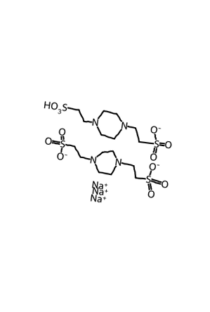 O=S(=O)([O-])CCN1CCN(CCS(=O)(=O)O)CC1.O=S(=O)([O-])CCN1CCN(CCS(=O)(=O)[O-])CC1.[Na+].[Na+].[Na+]